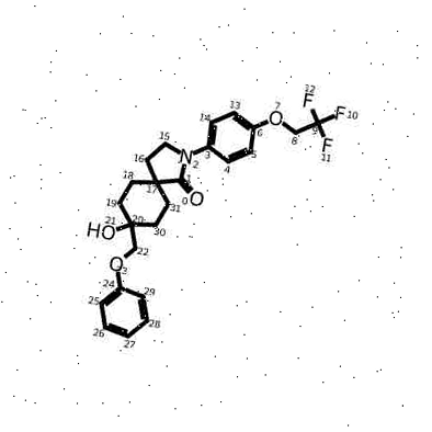 O=C1N(c2ccc(OCC(F)(F)F)cc2)CCC12CCC(O)(COc1ccccc1)CC2